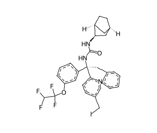 O=C(N[C@@H]1C[C@@H]2CC[C@H]1C2)N[C@](Cc1ccccc1)(c1cccc(OC(F)(F)C(F)F)c1)c1ccc(CI)cn1